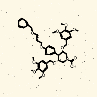 COc1cc(CO[C@H]2CN(C(=O)O)C[C@@H](OCc3cc(OC)c(OC)c(OC)c3)C2c2ccc(OCCCOCc3ccccc3)cc2)cc(OC)c1OC